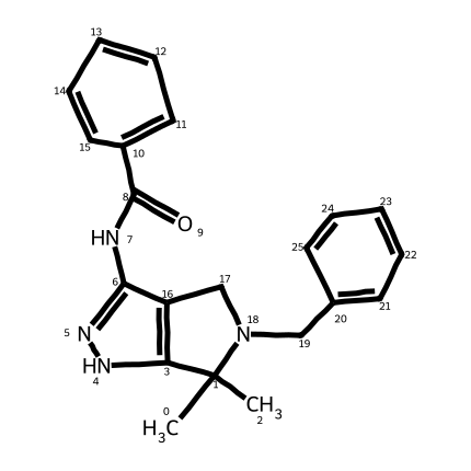 CC1(C)c2[nH]nc(NC(=O)c3ccccc3)c2CN1Cc1ccccc1